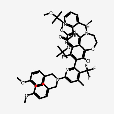 COc1ccc(CN(Cc2ccc(OC)cc2)c2cc(C)c(C(F)(F)F)c(-c3c(Cl)c4c5c(nc(OCC(C)(C)OC)nc5c3F)N([C@H](C)c3cccnc3NC(=O)OC(C)(C)C)CCO4)n2)cc1